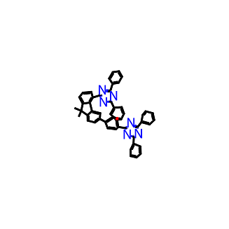 CC1(C)c2ccc(-c3ccc(-c4nc(-c5ccccc5)nc(-c5ccccc5)n4)cc3)cc2-c2c(-c3nc(-c4ccccc4)nc(-c4ccccc4)n3)cccc21